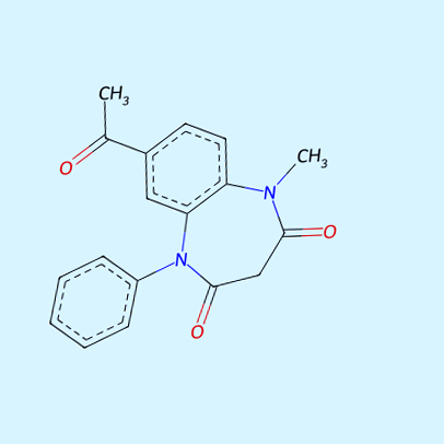 CC(=O)c1ccc2c(c1)N(c1ccccc1)C(=O)CC(=O)N2C